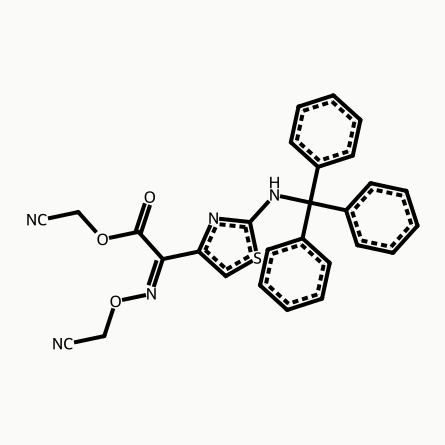 N#CCO/N=C(\C(=O)OCC#N)c1csc(NC(c2ccccc2)(c2ccccc2)c2ccccc2)n1